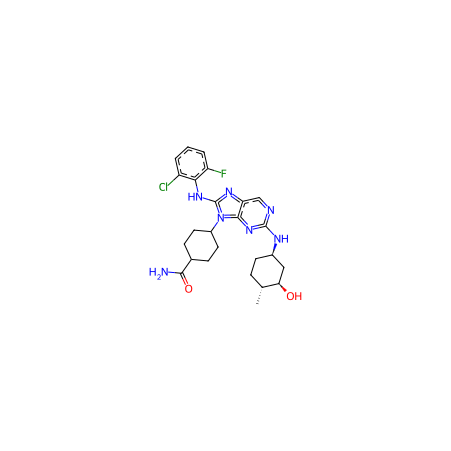 C[C@@H]1CC[C@@H](Nc2ncc3nc(Nc4c(F)cccc4Cl)n(C4CCC(C(N)=O)CC4)c3n2)C[C@H]1O